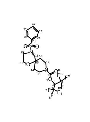 O=C(OC(C(F)(F)F)C(F)(F)F)N1CCC2(CC1)CN(S(=O)(=O)c1ccccc1)CCO2